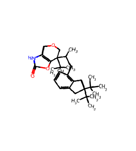 CC(Cc1cccc2c1CC(C(C)(C)C)(C(C)(C)C)C2)C1(C(C)(C)C)COCc2[nH]c(=O)oc21